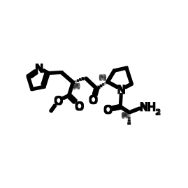 COC(=O)[C@@H](CC(=O)[C@@H]1CCCN1C(=O)[C@@H](C)N)CC1=CCC=N1